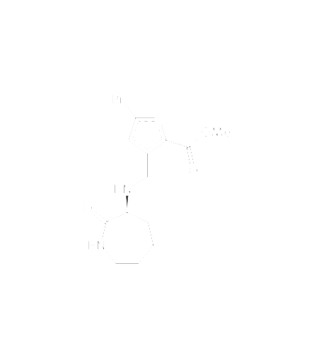 COC(=O)c1sc(Br)cc1CN[C@H]1CCCCNC1=O